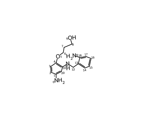 Nc1ccc(OCCCO)c(NCc2ccccc2N)c1